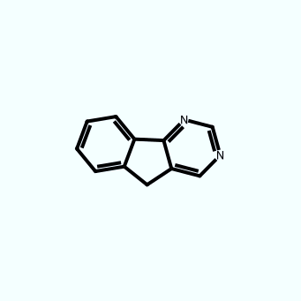 c1ccc2c(c1)Cc1cncnc1-2